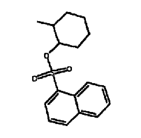 CC1CCCCC1OS(=O)(=O)c1cccc2ccccc12